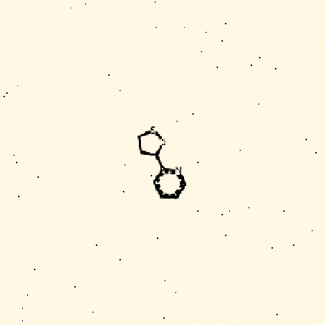 c1ccc(C2CCSS2)nc1